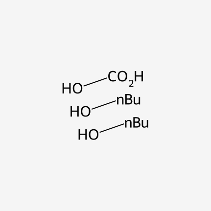 CCCCO.CCCCO.O=C(O)O